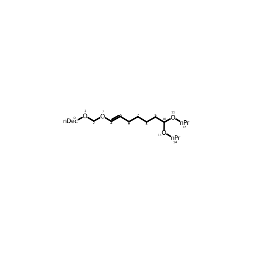 CCCCCCCCCCOCOC=CCCCCC(OCCC)OCCC